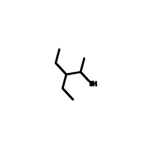 CCC(CC)C(C)S